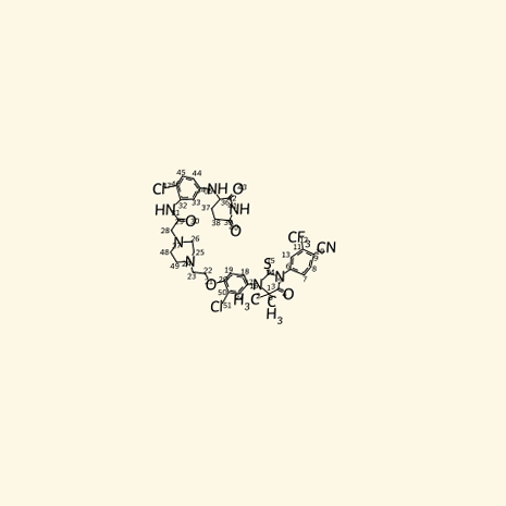 CC1(C)C(=O)N(c2ccc(C#N)c(C(F)(F)F)c2)C(=S)N1c1ccc(OCCN2CCN(CC(=O)Nc3cc(NC4CCC(=O)NC4=O)ccc3Cl)CC2)c(Cl)c1